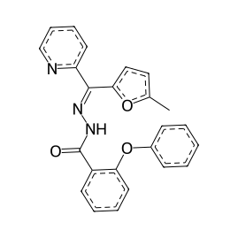 Cc1ccc(C(=NNC(=O)c2ccccc2Oc2ccccc2)c2ccccn2)o1